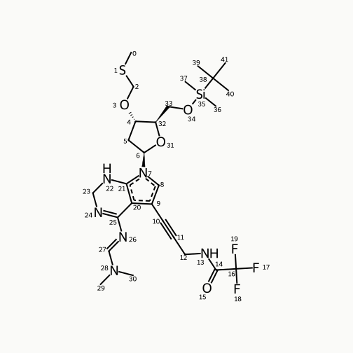 CSCO[C@H]1C[C@H](n2cc(C#CCNC(=O)C(F)(F)F)c3c2NCN=C3/N=C/N(C)C)O[C@@H]1CO[Si](C)(C)C(C)(C)C